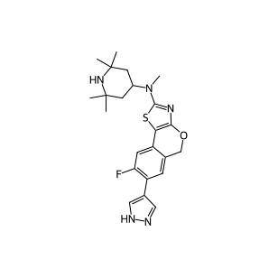 CN(c1nc2c(s1)-c1cc(F)c(-c3cn[nH]c3)cc1CO2)C1CC(C)(C)NC(C)(C)C1